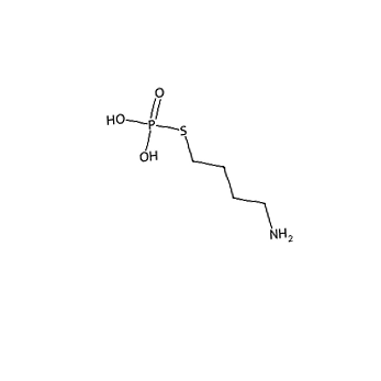 NCCCCSP(=O)(O)O